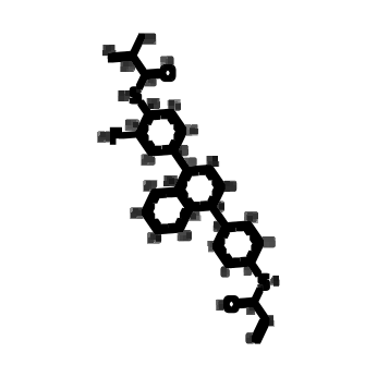 C=CC(=O)Sc1ccc(-c2ccc(-c3ccc(SC(=O)C(=C)C)c(F)c3)c3ccccc23)cc1